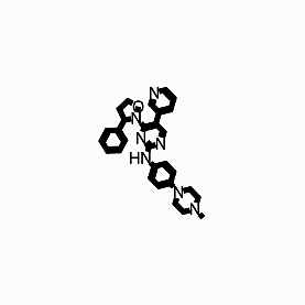 CN1CCN(c2ccc(Nc3ncc(-c4cccnc4)c(N4OCCC4c4ccccc4)n3)cc2)CC1